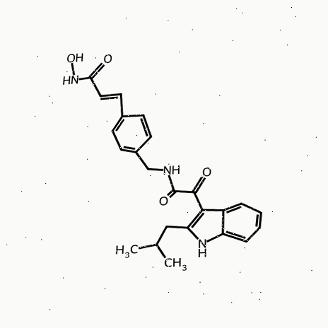 CC(C)Cc1[nH]c2ccccc2c1C(=O)C(=O)NCc1ccc(/C=C/C(=O)NO)cc1